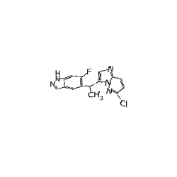 CC(c1cc2cn[nH]c2cc1F)c1cnc2ccc(Cl)nn12